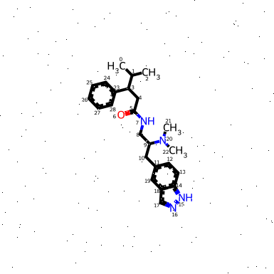 CC(C)C(CC(=O)NCC(Cc1ccc2[nH]ncc2c1)N(C)C)c1ccccc1